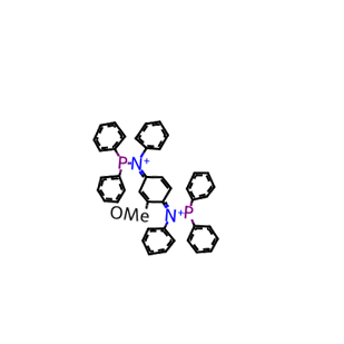 COC1=CC(=[N+](c2ccccc2)P(c2ccccc2)c2ccccc2)C=CC1=[N+](c1ccccc1)P(c1ccccc1)c1ccccc1